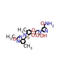 COc1cnc2c(-c3nc4c(C)cc5c(c4s3)OCC(CN(C(=O)O)c3cncc(C(N)=O)c3)O5)cc(C)cc2n1